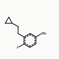 CC(C)(C)c1ccc(F)c(CCC2CC2)c1